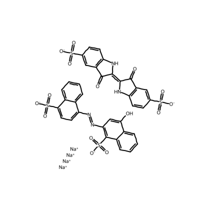 O=C1/C(=C2\Nc3ccc(S(=O)(=O)[O-])cc3C2=O)Nc2ccc(S(=O)(=O)[O-])cc21.O=S(=O)([O-])c1ccc(/N=N/c2cc(O)c3ccccc3c2S(=O)(=O)[O-])c2ccccc12.[Na+].[Na+].[Na+].[Na+]